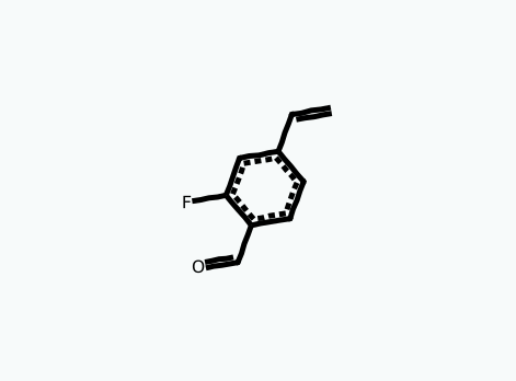 C=Cc1ccc(C=O)c(F)c1